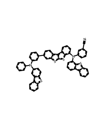 N#Cc1cccc(N(c2cccc3c2sc2ccccc23)c2cccc3c2sc2sc4cc(-c5cccc(N(c6ccccc6)c6ccc7sc8ccccc8c7c6)c5)ccc4c23)c1